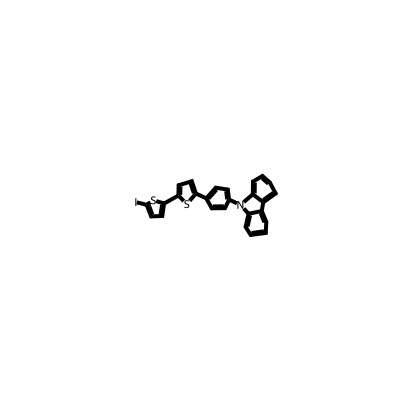 Ic1ccc(-c2ccc(-c3ccc(-n4c5ccccc5c5ccccc54)cc3)s2)s1